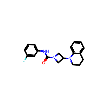 O=C(Nc1cccc(F)c1)N1CC(N2CCCc3ccccc32)C1